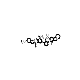 CN1CCn2nc(Nc3cc(-c4ccnc(-n5ncc6c7n(cc6c5=O)CCCC7)c4CO)cn(C)c3=O)cc2C1